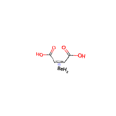 O=C(O)/C=C\C(=O)O.[BeH2]